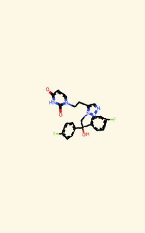 O=c1ccn(CCc2cnnn2CC(O)(c2ccc(F)cc2)c2ccc(F)cc2)c(=O)[nH]1